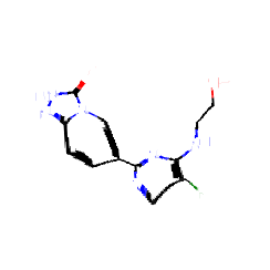 O=c1[nH]nc2ccc(-c3ncc(F)c(NCCO)n3)cn12